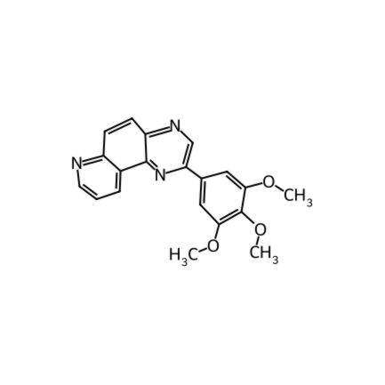 COc1cc(-c2cnc3ccc4ncccc4c3n2)cc(OC)c1OC